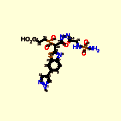 Cn1cc(-c2ccc3nc(C(c4nnc(CNS(N)(=O)=O)o4)S(=O)(=O)CCC(=O)O)sc3c2)cn1